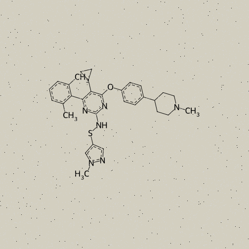 Cc1cccc(C)c1-c1nc(NSc2cnn(C)c2)nc(Oc2ccc(C3CCN(C)CC3)cc2)c1C1CC1